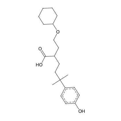 CC(C)(CCC(CCOC1CCCCC1)C(=O)O)c1ccc(O)cc1